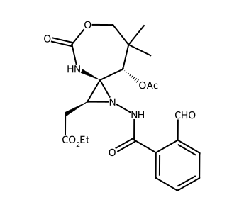 CCOC(=O)C[C@@H]1N(NC(=O)c2ccccc2C=O)[C@]12NC(=O)OCC(C)(C)[C@@H]2OC(C)=O